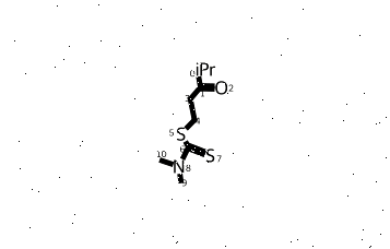 CC(C)C(=O)CCSC(=S)N(C)C